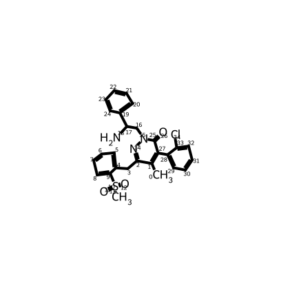 Cc1c(Cc2ccccc2S(C)(=O)=O)nn(CC(N)c2ccccc2)c(=O)c1-c1ccccc1Cl